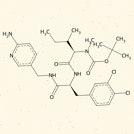 CCC(C)[C@H](C(=O)N[C@@H](Cc1ccc(Cl)c(Cl)c1)C(=O)NCc1ccc(N)nc1)N(C)C(=O)OC(C)(C)C